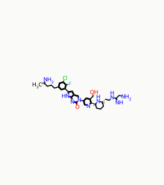 C[C@H](N)CCCc1cc(Cl)c(F)c(-c2cc3cn(-c4cnc([C@@H]5CCC[C@@H](CCNC(=N)CN)N5)c(CO)c4)c(=O)nc3[nH]2)c1